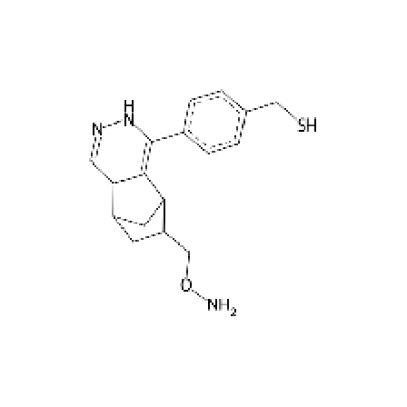 NOCC1CC2CC1C1=C(c3ccc(CS)cc3)NN=CC12